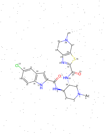 CC(=O)N1CC[C@@H](NC(=O)c2cc3cc(Cl)ccc3[nH]2)[C@H](NC(=O)c2nc3c(s2)CN(C)CC3)C1